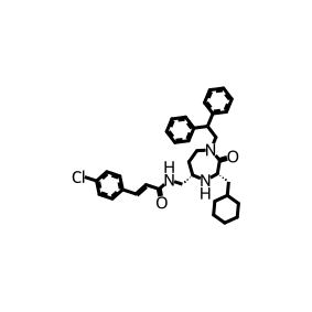 O=C(/C=C/c1ccc(Cl)cc1)NC[C@@H]1CCN(CC(c2ccccc2)c2ccccc2)C(=O)[C@H](CC2CCCCC2)N1